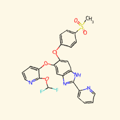 CS(=O)(=O)c1ccc(Oc2cc3[nH]c(-c4ccccn4)nc3cc2Oc2cccnc2OC(F)F)cc1